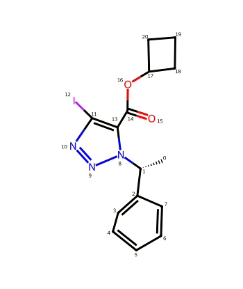 C[C@H](c1ccccc1)n1nnc(I)c1C(=O)OC1CCC1